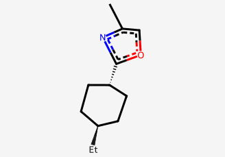 CC[C@H]1CC[C@H](c2nc(C)co2)CC1